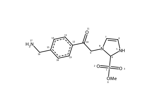 COS(=O)(=O)C1NC=CN1CC(=O)c1ccc(CN)cc1